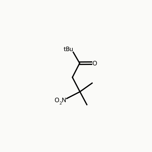 CC(C)(C)C(=O)CC(C)(C)[N+](=O)[O-]